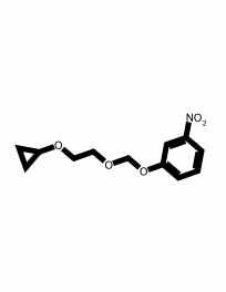 O=[N+]([O-])c1cccc(OCOCCOC2CC2)c1